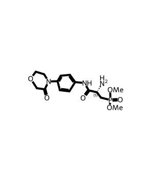 COP(=O)(C[C@@H](N)C(=O)Nc1ccc(N2CCOCC2=O)cc1)OC